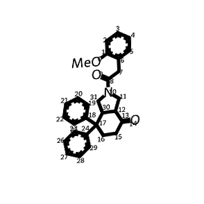 COc1ccccc1CC(=O)N1CC2C(=O)CCC(c3ccccc3)(c3ccccc3)C2C1